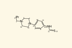 CC(C)CN1CCN(c2ccc(N[C]=S)cc2)CC1